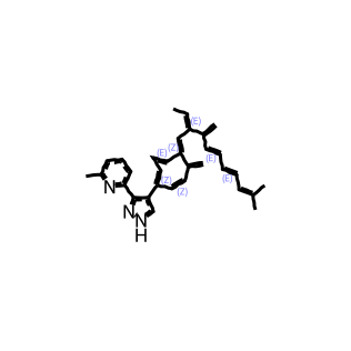 C=C1\C=C/C(c2c[nH]nc2-c2cccc(C)n2)=C/C=C/C1=C/C(=C\C)C(=C)/C=C/C=C/C=C(C)C